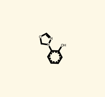 Oc1ccccc1N1COC=N1